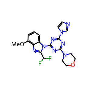 COc1cccc2c1nc(C(F)F)n2-c1nc(N2CCOCC2)nc(-n2ccnc2)n1